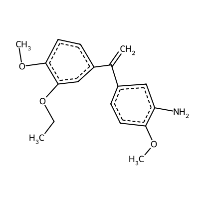 C=C(c1ccc(OC)c(N)c1)c1ccc(OC)c(OCC)c1